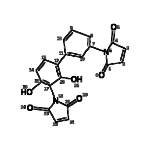 O=C1C=CC(=O)N1c1cccc(-c2ccc(O)c(N3C(=O)C=CC3=O)c2O)c1